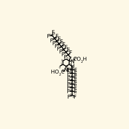 CC1CCC(CC(F)(F)C(F)(F)C(F)(F)C(F)(F)C(F)(F)C(F)(F)C(F)(F)C(F)F)(NC(=O)O)C(CC(F)(F)C(F)(F)C(F)(F)C(F)(F)C(F)(F)C(F)(F)C(F)(F)C(F)F)C1NC(=O)O